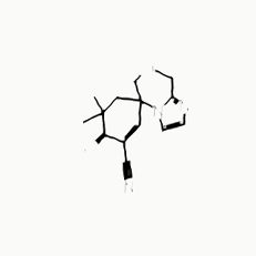 CC1(C)CC2(C=C(C#N)C1=O)COCc1nccn12